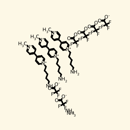 C[n+]1ccc(-c2cc[n+](CCCCCN)cc2)cc1.C[n+]1ccc(-c2cc[n+](CCCCCN)cc2)cc1.C[n+]1ccc(-c2cc[n+](CCCCCN)cc2)cc1.N.N.O=C([O-])C(F)(F)F.O=C([O-])C(F)(F)F.O=C([O-])C(F)(F)F.O=C([O-])C(F)(F)F.O=C([O-])C(F)(F)F.O=C([O-])C(F)(F)F